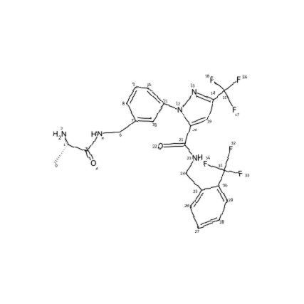 C[C@H](N)C(=O)NCc1cccc(-n2nc(C(F)(F)F)cc2C(=O)NCc2ccccc2C(F)(F)F)c1